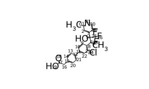 Cc1cc(C(O)(C(C)c2ccc(-c3ccc(CC(=O)O)cc3)cc2Cl)C(F)(F)F)ccn1